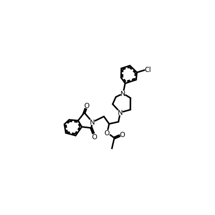 CC(=O)OC(CN1CCN(c2cccc(Cl)c2)CC1)CN1C(=O)c2ccccc2C1=O